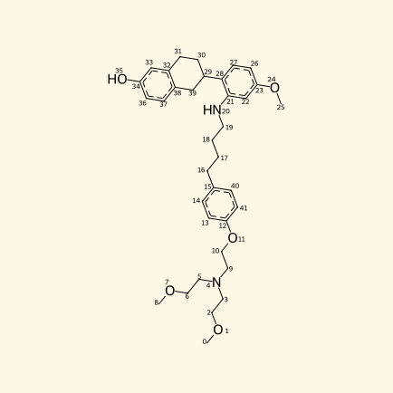 COCCN(CCOC)CCOc1ccc(CCCCNc2cc(OC)ccc2C2CCc3cc(O)ccc3C2)cc1